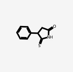 O=C1CC(c2ccccc2)C(=S)N1